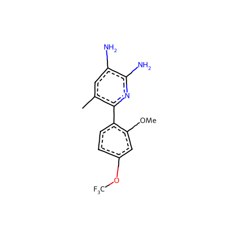 COc1cc(OC(F)(F)F)ccc1-c1nc(N)c(N)cc1C